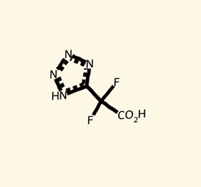 O=C(O)C(F)(F)c1nnn[nH]1